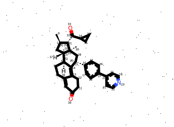 C[C@@H]1C[C@H]2[C@@H]3CCC4=CC(=O)CCC4=C3[C@@H](c3ccc(-c4ccncc4)cc3)C[C@]2(C)[C@H]1C(=O)C1CC1